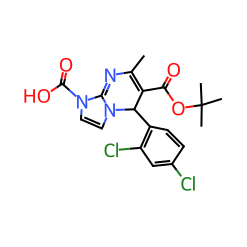 CC1=C(C(=O)OC(C)(C)C)C(c2ccc(Cl)cc2Cl)N2C=CN(C(=O)O)C2=N1